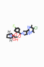 Cc1nc2c3c(nn2c(C)c1Cl)CN(C(=O)c1ccc(F)cc1O[C@H]1C[C@H]2CC[C@@H](C1)N2CC(C)O)C3